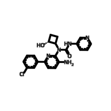 Nc1ccc(-c2cccc(Cl)c2)nc1N(C(=O)Nc1cccnc1)C1CC[C@H]1O